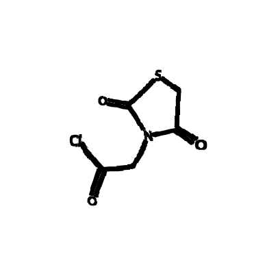 O=C(Cl)CN1C(=O)CSC1=O